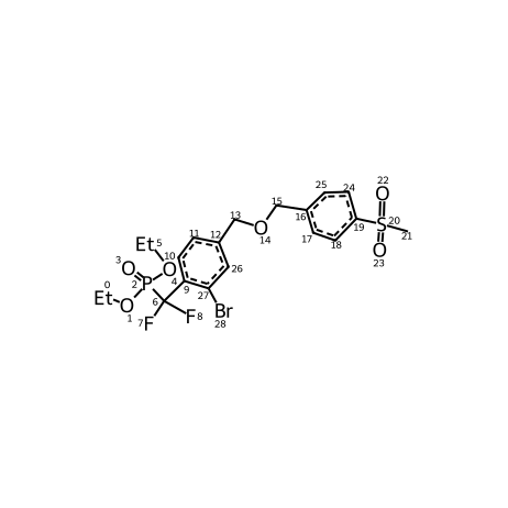 CCOP(=O)(OCC)C(F)(F)c1ccc(COCc2ccc(S(C)(=O)=O)cc2)cc1Br